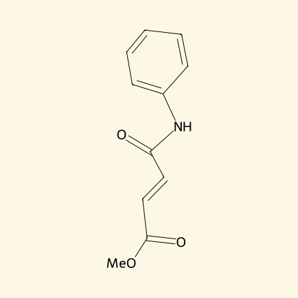 COC(=O)/C=C/C(=O)Nc1ccccc1